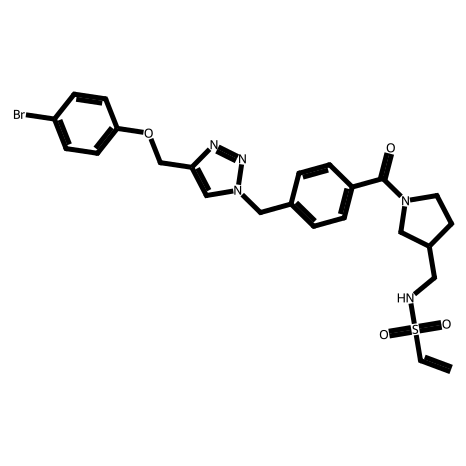 C=CS(=O)(=O)NCC1CCN(C(=O)c2ccc(Cn3cc(COc4ccc(Br)cc4)nn3)cc2)C1